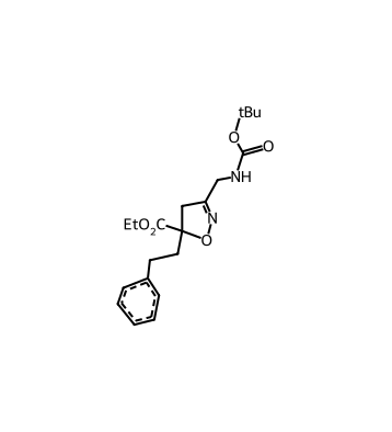 CCOC(=O)C1(CCc2ccccc2)CC(CNC(=O)OC(C)(C)C)=NO1